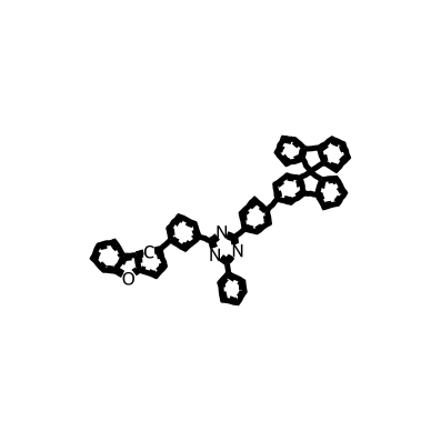 c1ccc(-c2nc(-c3ccc(-c4ccc5c(c4)-c4ccccc4C54c5ccccc5-c5ccccc54)cc3)nc(-c3cccc(-c4ccc5oc6ccccc6c5c4)c3)n2)cc1